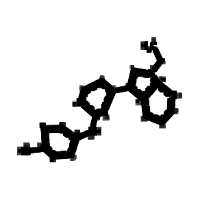 CCn1cc(-c2ccnc(Nc3ccc(O)cc3)n2)c2cccnc21